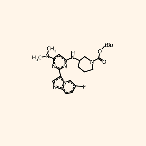 CN(C)c1cc(NC2CCCN(C(=O)OC(C)(C)C)C2)nc(-c2cnc3ccc(F)cn23)n1